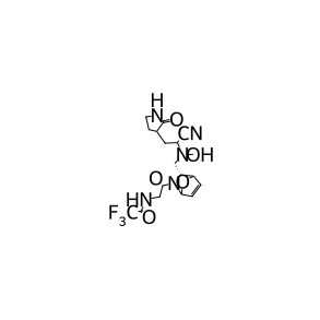 N#CC(CC1CCNC1=O)N(O)C[C@@H]1C2C=CC(O2)N1C(=O)CNC(=O)C(F)(F)F